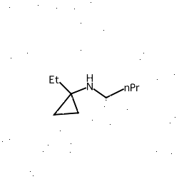 CCC[CH]NC1(CC)CC1